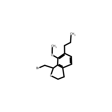 CCCc1ccc2c(c1OC)C(CBr)SCC2